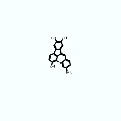 O=[N+]([O-])c1ccc(N=C2c3cc(O)c(O)cc3-c3ccc(O)c(O)c32)cc1